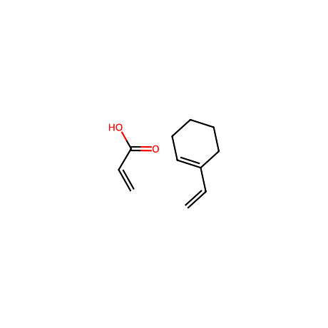 C=CC(=O)O.C=CC1=CCCCC1